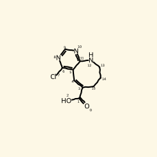 O=C(O)/C1=C/c2c(Cl)ncnc2NCCC1